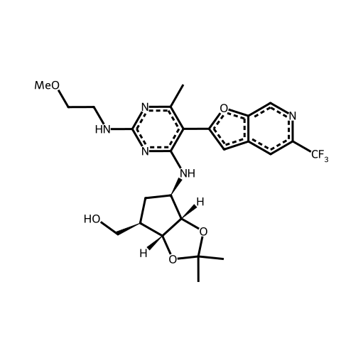 COCCNc1nc(C)c(-c2cc3cc(C(F)(F)F)ncc3o2)c(N[C@@H]2C[C@H](CO)[C@H]3OC(C)(C)O[C@H]32)n1